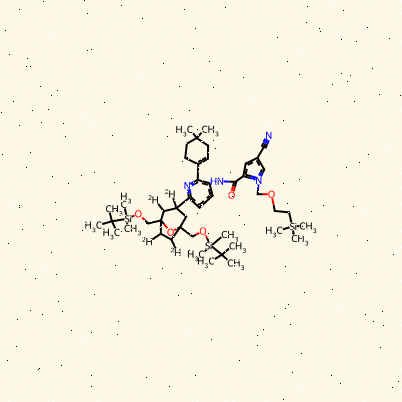 [2H]C1C([2H])C2(CO[Si](C)(C)C(C)(C)C)OC1(CO[Si](C)(C)C(C)(C)C)CC([2H])(c1ccc(NC(=O)c3cc(C#N)cn3COCC[Si](C)(C)C)c(C3=CCC(C)(C)CC3)n1)C2[2H]